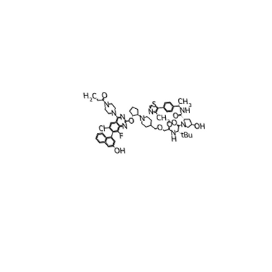 C=CC(=O)N1CCN(c2nc(O[C@@H]3CCC[C@H]3N3CCC(COCC(=O)N[C@H](C(=O)N4C[C@H](O)C[C@H]4C(=O)N[C@@H](C)c4ccc(-c5scnc5C)cc4)C(C)(C)C)CC3)nc3c(F)c(-c4cc(O)cc5ccccc45)c(Cl)cc23)CC1